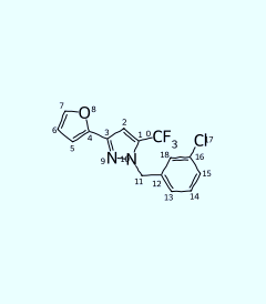 FC(F)(F)c1cc(-c2ccco2)nn1Cc1cccc(Cl)c1